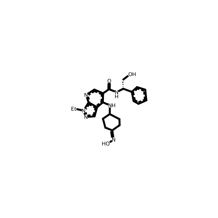 CCn1ncc2c(NC3CCC(=NO)CC3)c(C(=O)N[C@H](CO)c3ccccc3)cnc21